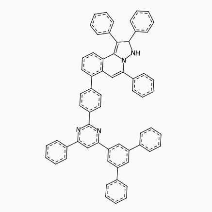 C1=C(c2ccccc2)N2NC(c3ccccc3)C(c3ccccc3)=C2c2cccc(-c3ccc(-c4nc(-c5ccccc5)cc(-c5cc(-c6ccccc6)cc(-c6ccccc6)c5)n4)cc3)c21